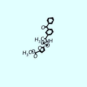 COC(=O)c1ccc(S(=O)(=O)NC(C)c2cccc(C(=O)c3ccccc3)c2)o1